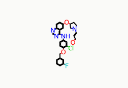 O=CC=CN1CC[C@H](Oc2ccc3ncnc(Nc4ccc(OCc5cccc(F)c5)c(Cl)c4)c3c2)C1